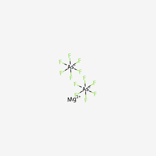 F[As-](F)(F)(F)(F)F.F[As-](F)(F)(F)(F)F.[Mg+2]